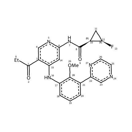 CCC(=O)c1cnc(NC(=O)[C@H]2C[C@H]2F)cc1Nc1cccc(-c2cnccn2)c1OC